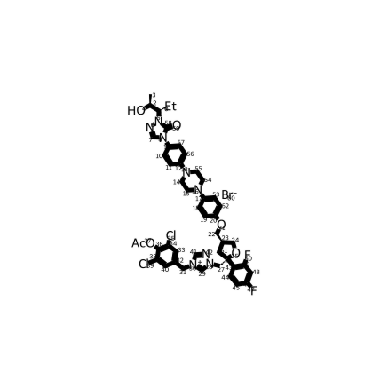 CC[C@@H]([C@H](C)O)n1ncn(-c2ccc(N3CCN(c4ccc(OC[C@H]5CO[C@@](Cn6c[n+](Cc7cc(Cl)c(OC(C)=O)c(Cl)c7)cn6)(c6ccc(F)cc6F)C5)cc4)CC3)cc2)c1=O.[Br-]